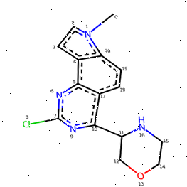 Cn1ccc2c3nc(Cl)nc(C4COCCN4)c3ccc21